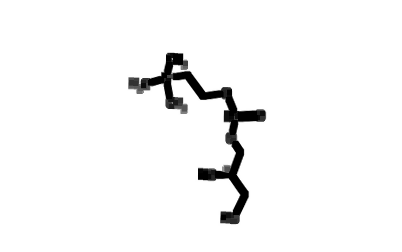 C[N+](C)(C)CCO[PH](=O)OC[C@H](O)CO